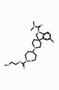 COCCOC(=O)N1CCCC(N2CCC3(CC2)CN(C(=O)N(C)C)c2ccc(F)cc23)CC1